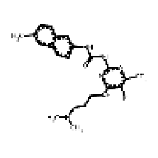 Cc1ccc2cc(NC(=O)Nc3nc(NCCCN(C)C)c(F)c(C(F)(F)F)n3)ccc2c1